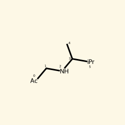 CC(=O)CNC(C)C(C)C